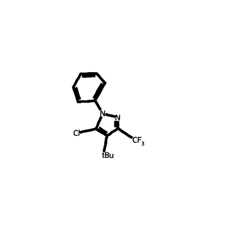 CC(C)(C)c1c(C(F)(F)F)nn(-c2ccccc2)c1Cl